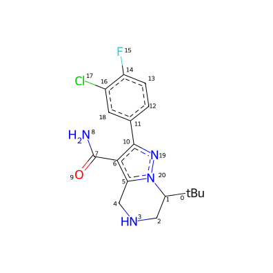 CC(C)(C)C1CNCc2c(C(N)=O)c(-c3ccc(F)c(Cl)c3)nn21